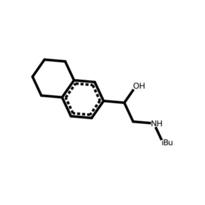 CCC(C)NCC(O)c1ccc2c(c1)CCCC2